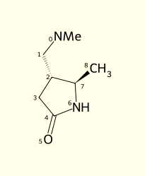 CNC[C@H]1CC(=O)N[C@@H]1C